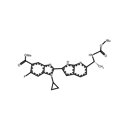 COC(=O)c1cc2nc(-c3cc4ccc([C@@H](C)NC(=O)OC(C)(C)C)nc4[nH]3)n(C3CC3)c2cc1F